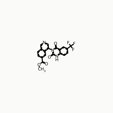 COC(=O)c1ccc2cncc(-n3c(=O)[nH]c4ccc(C(F)(F)F)cc4c3=O)c2c1